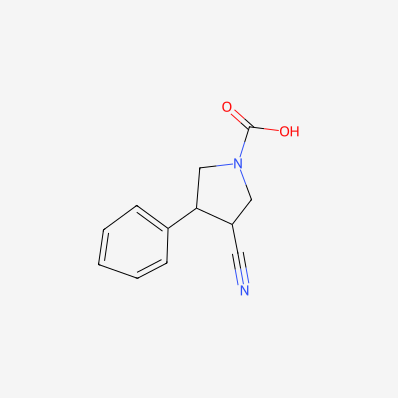 N#CC1CN(C(=O)O)CC1c1ccccc1